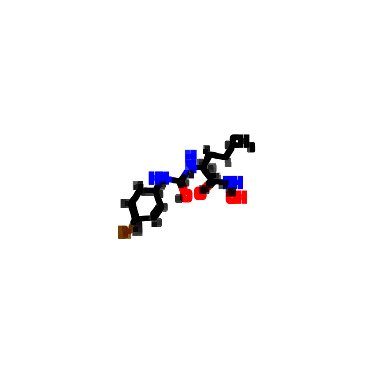 CCC[C@H](NC(=O)Nc1ccc(Br)cc1)C(=O)NO